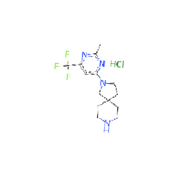 Cc1nc(N2CCC3(CCNCC3)C2)cc(C(F)(F)F)n1.Cl